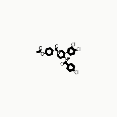 CC(=O)O[C@H]1CC[C@H](C(=O)N2CC[C@@H](N(C)C(=O)c3ccc(Cl)cc3)[C@H](c3ccc(Cl)c(Cl)c3)C2)CC1